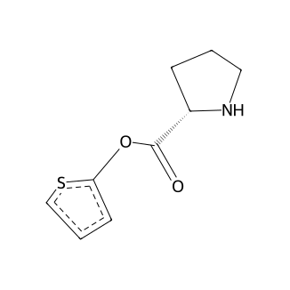 O=C(Oc1cccs1)[C@@H]1CCCN1